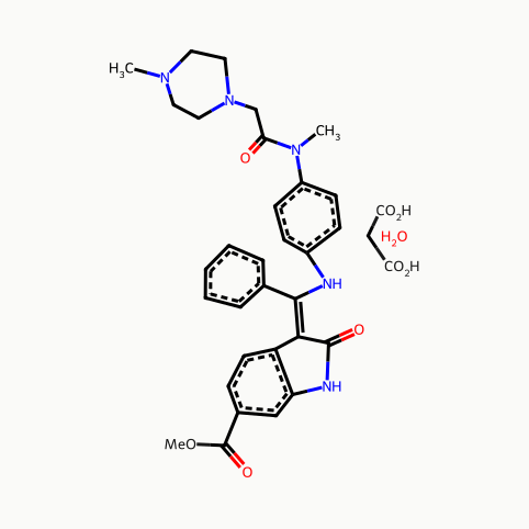 COC(=O)c1ccc2c(c1)NC(=O)/C2=C(\Nc1ccc(N(C)C(=O)CN2CCN(C)CC2)cc1)c1ccccc1.O.O=C(O)CC(=O)O